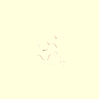 Nc1c(F)c(F)c2c3c1c(=O)c(C(=O)O)cn3CC1(CC1)CO2